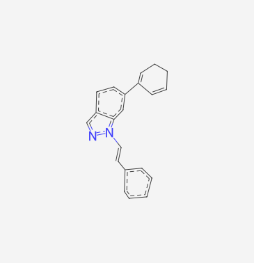 C1=CC(c2ccc3cnn(C=Cc4ccccc4)c3c2)=CCC1